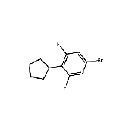 Fc1cc(Br)cc(F)c1[C]1CCCC1